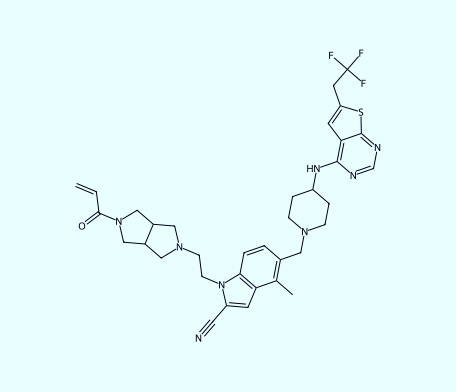 C=CC(=O)N1CC2CN(CCn3c(C#N)cc4c(C)c(CN5CCC(Nc6ncnc7sc(CC(F)(F)F)cc67)CC5)ccc43)CC2C1